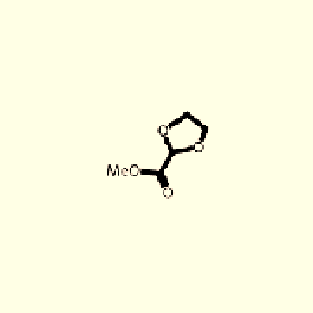 COC(=O)[C]1OCCO1